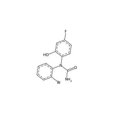 NC(=O)N(c1ccc(F)cc1O)c1ccccc1Br